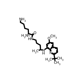 COc1cc(NC(C)CCCNC(=O)[C@@H](N)CCCCN)c2nc(C(C)(C)C)ccc2c1